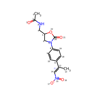 CC(=O)NCC1CN(c2ccc(/C(C)=C/[N+](=O)[O-])cc2)C(=O)O1